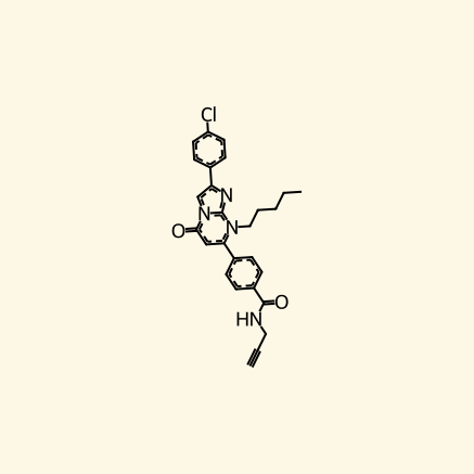 C#CCNC(=O)c1ccc(-c2cc(=O)n3cc(-c4ccc(Cl)cc4)nc3n2CCCCC)cc1